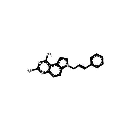 Nc1nc(N)c2c(ccc3c2ccn3C/C=C/c2ccccc2)n1